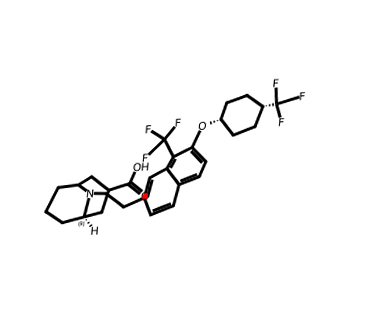 O=C(O)C1CC2CCC[C@H](C1)N2CCc1ccc2ccc(O[C@H]3CC[C@@H](C(F)(F)F)CC3)c(C(F)(F)F)c2c1